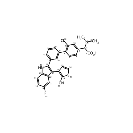 CN(C)C(C(=O)O)c1ccc(-c2cccc(-c3[nH]c4ccc(F)cc4c3-c3ccsc3C#N)c2)c(Cl)c1